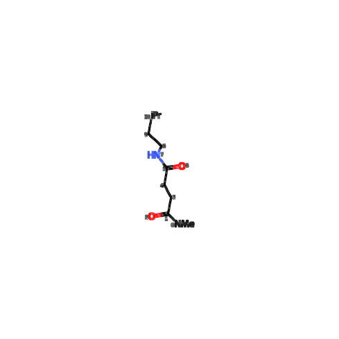 CNC(=O)CCC(=O)NCCC(C)C